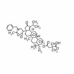 CC(=O)N(Cc1ccccc1)C[C@H](O)[C@@]12CC[C@]3(C)[C@H](CC[C@@H]4[C@@]5(C)CC[C@H](OC(=O)CC(C)(C)C(=O)O)C(C)(C)[C@H]5CC[C@]43C)C1=C(C(C)C)C(=O)C2